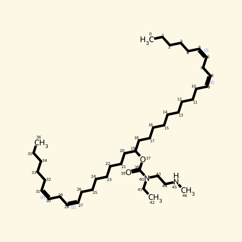 CCCCC/C=C\C/C=C\CCCCCCCCCC(CCCCCCC/C=C\C/C=C\CCCCC)OC(=O)N(CC)CCNC